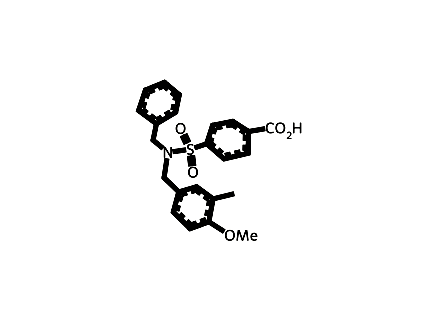 COc1ccc(CN(Cc2ccccc2)S(=O)(=O)c2ccc(C(=O)O)cc2)cc1C